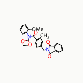 COc1ccccc1N(C(=O)c1ccc(CN2C(=O)c3ccccc3C2=O)cc1C)C1OCCO1